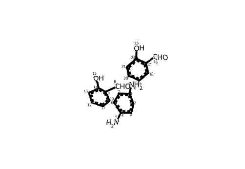 Nc1ccc(N)cc1.O=Cc1ccccc1O.O=Cc1ccccc1O